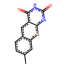 Cc1ccc2cc3c(=O)[nH]c(=O)nc-3sc2c1